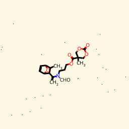 C=C(C1C2C=CC(O2)C1C)N(C=O)CCCOC(=O)C1(C)COC(=O)OC1